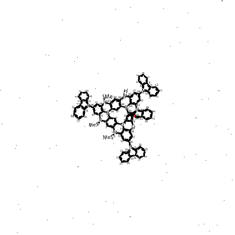 CSN1c2cc3c(cc2B2c4ccccc4Oc4cc(-n5c6ccccc6c6ccccc65)cc1c42)B1c2cc4c(cc2N(SC)c2cc(-n5c6ccccc6c6ccccc65)cc(c21)N3SC)Nc1cc(-n2c3ccccc3c3ccccc32)cc2c1B4c1cccc3c4ccccc4n-2c13